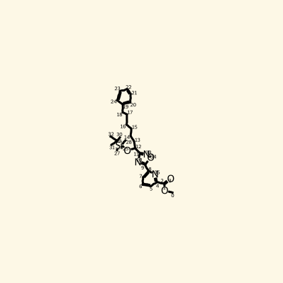 COC(=O)c1cccc(-c2nc(C(CCCCCCc3ccccc3)O[Si](C)(C)C(C)(C)C)no2)n1